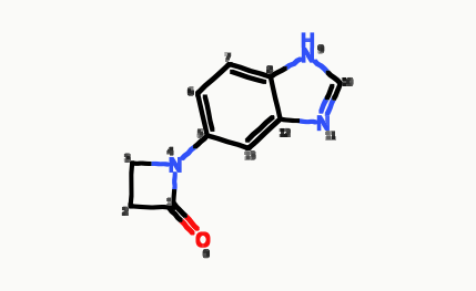 O=C1CCN1c1ccc2[nH]cnc2c1